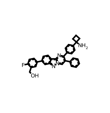 NC1(c2ccc(-c3nc4c5ccc(-c6ccc(F)c(CO)c6)cc5nn4cc3-c3ccccc3)cc2)CCC1